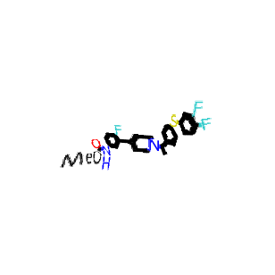 COC(=O)Nc1ccc(F)c(C2CCN(C(C)c3ccc(Sc4ccc(F)c(F)c4)cc3)CC2)c1